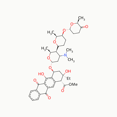 CC[C@@]1(O)C[C@H](O[C@H]2CC(N(C)C)[C@H](C3CC[C@H](O[C@H]4CCC(=O)[C@H](C)O4)[C@H](C)O3)[C@H](C)O2)c2c(cc3c(c2O)C(=O)c2ccccc2C3=O)[C@H]1C(=O)OC